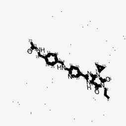 CCCn1c(=O)c2[nH]c(-c3ccc(NCc4ccc(CNC(C)=O)cc4)nc3)nc2n(C2CC2)c1=O